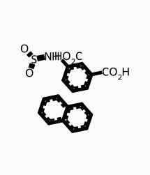 N=S(=O)=O.O=C(O)c1cccc(C(=O)O)c1.c1ccc2ccccc2c1